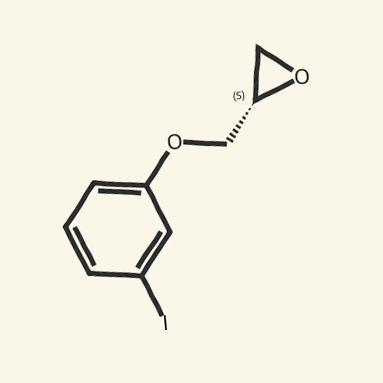 Ic1cccc(OC[C@@H]2CO2)c1